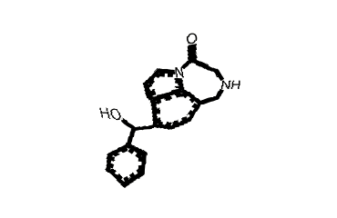 O=C1CNCc2ccc(C(O)c3ccccc3)c3ccn1c23